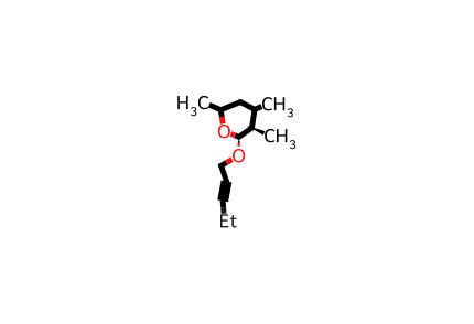 CCC#CCO[C@@H]1OC(C)CC(C)[C@H]1C